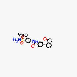 COc1cc(NC(=O)c2ccc(-c3cccc4c3C(=O)CC4)cc2)ccc1S(N)(=O)=O